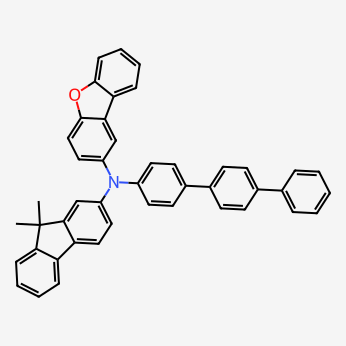 CC1(C)c2ccccc2-c2ccc(N(c3ccc(-c4ccc(-c5ccccc5)cc4)cc3)c3ccc4oc5ccccc5c4c3)cc21